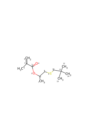 C=C(C)C(=O)OC(C)CSCC(C)(C)C